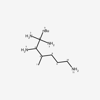 CCCCC(N)(N)C(N)C(C)CCCN